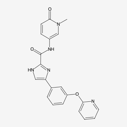 Cn1cc(NC(=O)c2nc(-c3cccc(Oc4ccccn4)c3)c[nH]2)ccc1=O